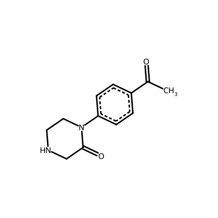 CC(=O)c1ccc(N2CCNCC2=O)cc1